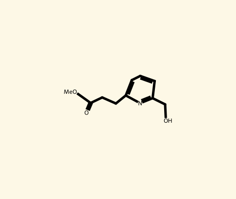 COC(=O)CCc1cccc(CO)n1